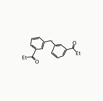 CCC(=O)c1cccc([CH]c2cccc(C(=O)CC)c2)c1